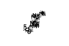 Fc1ccc2c(c1CNc1ncc(-c3ccc(Cn4ccnc4)n4ncnc34)c3nncn13)CCO2